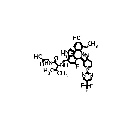 CCc1cccc(CC)c1-n1nc2c(c1-c1c(F)cc(CNC(C(=O)NCC(=O)O)C(C)C)c3[nH]ccc13)CN(c1ncc(C(F)(F)F)cn1)CC2.Cl